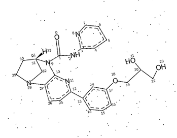 O=C(Nc1ccccn1)N1c2nc(-c3cccc(OCC(O)CO)c3)ccc2N2CC[C@H]1C2